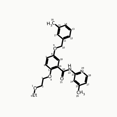 CCOCCOc1ccc(OCc2cccc(C)c2)cc1C(=O)Nc1cc(C)ccn1